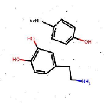 CC(=O)Nc1ccc(O)cc1.NCCc1ccc(O)c(O)c1